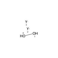 OO.[Y].[Y]